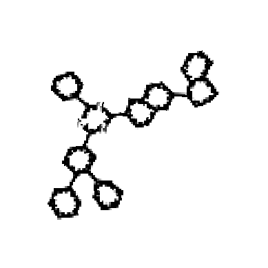 c1ccc(-c2nc(-c3ccc(-c4ccccc4)c(-c4ccccc4)c3)nc(-c3ccc4cc(-c5cccc6ccccc56)ccc4c3)n2)cc1